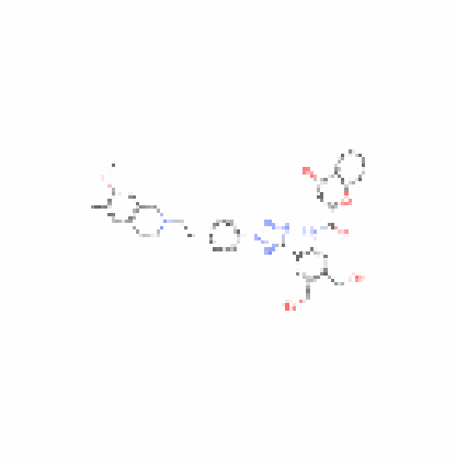 COc1cc2c(cc1C)C=CN(CCc1ccc(-n3nnc(-c4cc(CO)c(CO)cc4NC(=O)c4cc(=O)c5ccccc5o4)n3)cc1)C2